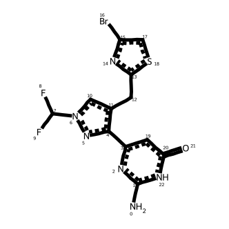 Nc1nc(-c2nn(C(F)F)cc2Cc2nc(Br)cs2)cc(=O)[nH]1